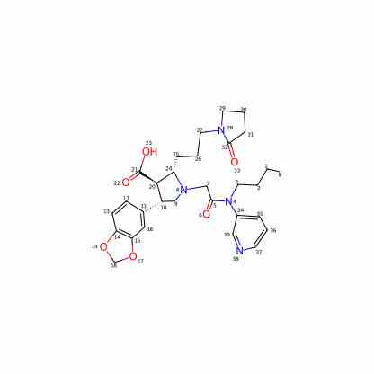 CCCCN(C(=O)CN1C[C@H](c2ccc3c(c2)OCO3)[C@@H](C(=O)O)[C@@H]1CCCN1CCCC1=O)c1cccnc1